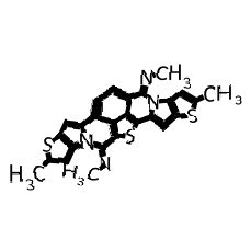 C/N=c1/c2sc3c4c(ccc(c24)c2cc4c(n12)CC(C)S4)/c(=N/C)n1c2cc(C)sc2cc31